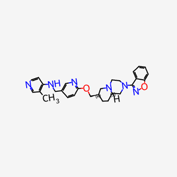 Cc1cnccc1NCc1ccc(OC[C@@H]2CC[C@H]3CN(c4noc5ccccc45)CCN3C2)nc1